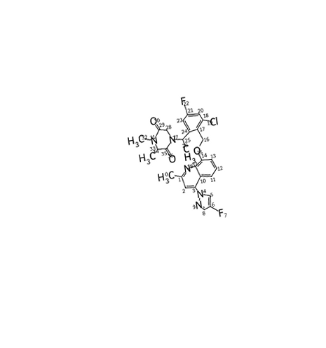 Cc1cc(-n2cc(F)cn2)c2cccc(OCc3c(Cl)cc(F)cc3C(C)N3CC(=O)N(C)[C@@H](C)C3=O)c2n1